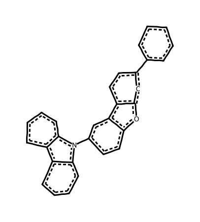 c1ccc(-c2ccc3c(c2)oc2ccc(-n4c5ccccc5c5ccccc54)cc23)cc1